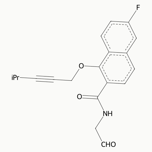 CC(C)C#CCOc1c(C(=O)NCC=O)ccc2cc(F)ccc12